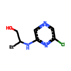 CCC(CO)Nc1cncc(Cl)n1